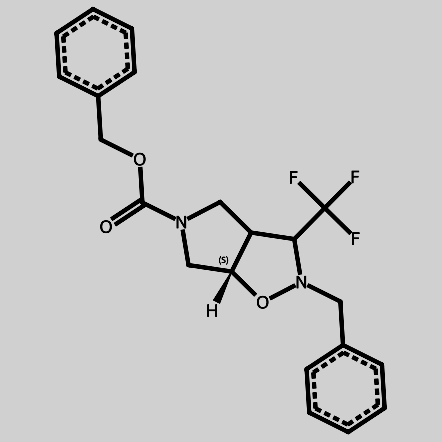 O=C(OCc1ccccc1)N1CC2C(C(F)(F)F)N(Cc3ccccc3)O[C@@H]2C1